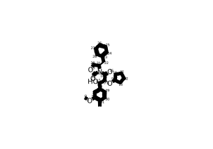 COc1cc([C@@H](O)[C@@H](OC2CCCC2)C(=O)N2C(=O)OC[C@H]2Cc2ccccc2)ccc1C